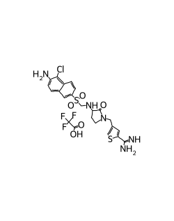 N=C(N)c1cc(CN2CCC(NCS(=O)(=O)c3ccc4c(Cl)c(N)ccc4c3)C2=O)cs1.O=C(O)C(F)(F)F